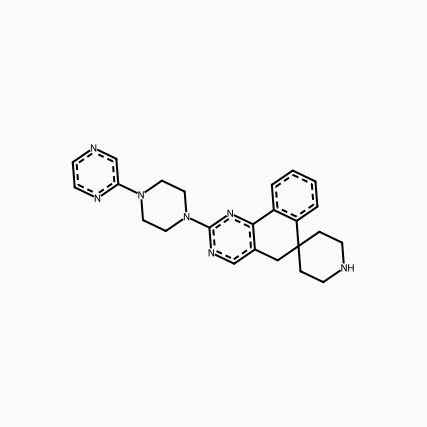 c1ccc2c(c1)-c1nc(N3CCN(c4cnccn4)CC3)ncc1CC21CCNCC1